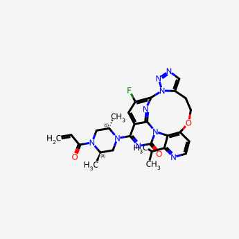 C=CC(=O)N1C[C@H](C)N(c2nc(=O)n3c4nc(c(F)cc24)-n2nncc2CCOc2ccnc(C(C)C)c2-3)C[C@H]1C